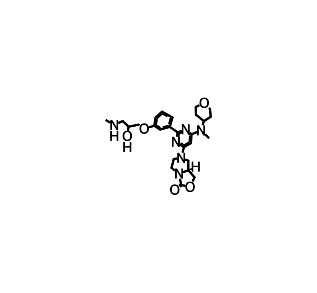 CNCC(O)COc1cccc(-c2nc(N3CCN4C(=O)OC[C@@H]4C3)cc(N(C)C3CCOCC3)n2)c1